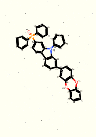 O=P(c1ccccc1)(c1ccccc1)c1ccc2c3ccc(-c4ccc5c(c4)Oc4ccccc4O5)cc3n(-c3ccccc3)c2c1